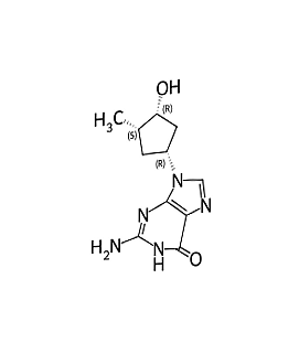 C[C@H]1C[C@@H](n2cnc3c(=O)[nH]c(N)nc32)C[C@H]1O